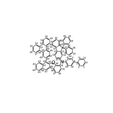 c1ccc(-c2ccc(N(c3ccc4c(c3)C(c3ccccc3)(c3ccccc3)c3ccccc3-4)c3cccc4c3oc3c(-c5ccc6c7ccccc7c7ccccc7c6c5)c5ccccc5cc34)cc2)cc1